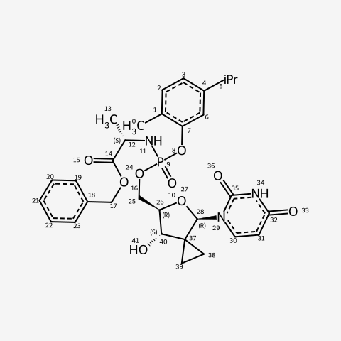 Cc1ccc(C(C)C)cc1OP(=O)(N[C@@H](C)C(=O)OCc1ccccc1)OC[C@H]1O[C@@H](n2ccc(=O)[nH]c2=O)C2(CC2)[C@@H]1O